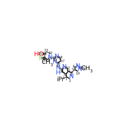 CC(C)c1cnc(-c2cnn(C)c2)c2cnc(Nc3ccnc(N4CC[C@@H](O)[C@@](C)(F)C4)n3)cc12